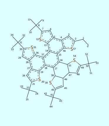 CCc1cc2c3cc(C(C)(C)C)sc3c3c(c4c(c5c6sc(C(C)(C)C)cc6c6cc(C(C)(C)C)sc6c53)C3SC(C(C)(C)C)=CC3C3C=C(C(C)(C)C)SC43)c2s1